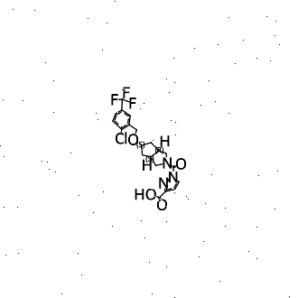 O=C(O)c1ccn(C(=O)N2C[C@H]3C[C@H](OCc4cc(C(F)(F)F)ccc4Cl)C[C@H]3C2)n1